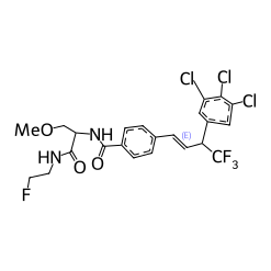 COCC(NC(=O)c1ccc(/C=C/C(c2cc(Cl)c(Cl)c(Cl)c2)C(F)(F)F)cc1)C(=O)NCCF